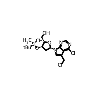 CC(C)(C)[Si](C)(C)O[C@@H]1C[C@H](n2cc(CCl)c3c(Cl)ncnc32)O[C@@H]1CO